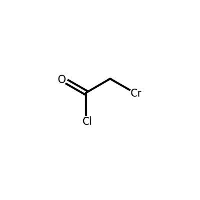 O=C(Cl)[CH2][Cr]